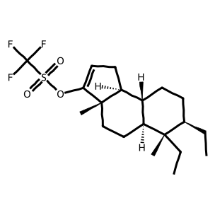 CC[C@@H]1CC[C@@H]2[C@H](CC[C@]3(C)C(OS(=O)(=O)C(F)(F)F)=CC[C@@H]23)[C@@]1(C)CC